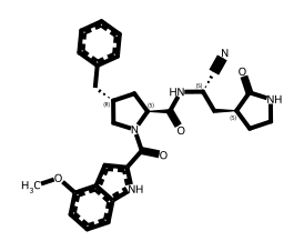 COc1cccc2[nH]c(C(=O)N3C[C@H](Cc4ccccc4)C[C@H]3C(=O)N[C@H](C#N)C[C@@H]3CCNC3=O)cc12